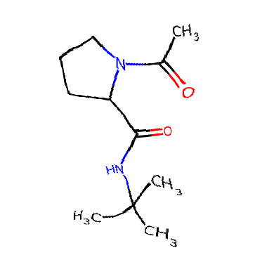 CC(=O)N1CCCC1C(=O)NC(C)(C)C